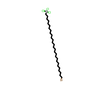 Cl[Si](Cl)(Cl)CCCCCCCCCCCCCCCCCCCCCCCCCCCCBr